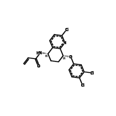 C=CC(=O)N[C@H]1CC[C@@H](Oc2ccc(Cl)c(Cl)c2)c2nc(Cl)ccc21